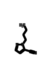 CCCCn1nccc1C#N